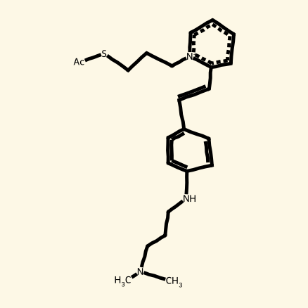 CC(=O)SCCC[n+]1ccccc1/C=C/C1=C=C=C(NCCCN(C)C)C=C1